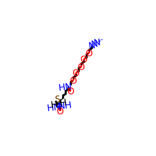 [N-]=[N+]=NCCOCCOCCOCCOCCOCCNC(=O)CCCC[C@@H]1SC[C@@H]2NC(=O)N[C@@H]21